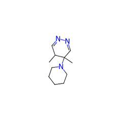 CC1C=NN=CC1(C)N1CCCCC1